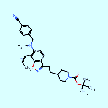 C/C=C\c1c(N(C)Cc2ccc(C#N)cc2)ccc2c(CCC3CCN(C(=O)OC(C)(C)C)CC3)noc12